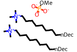 CCCCCCCCCCCCCCCCCC[N+](C)(C)C.CCCCCCCCCCCCCCCCCC[N+](C)(C)C.COP(=O)([O-])[O-]